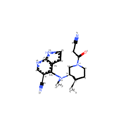 C[C@@H]1CCN(C(=O)CC#N)C[C@@H]1N(C)c1c(C#N)cnc2[nH]ccc12